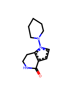 O=C1NCCc2c1ccn2N1CCCCC1